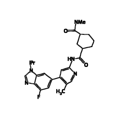 CNC(=O)C1CCCC(C(=O)Nc2cc(-c3cc(F)c4ncn(C(C)C)c4c3)c(C)cn2)C1